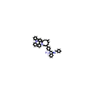 C=C1CC/C=C\N(C2=C(c3cccc4c5ccccc5n(C5=CC=CCC5)c34)C=CCC2)/C=C\C(c2ccc(/C(N)=C/C(=N\Cc3ccccc3)C3C=CC=CC3)cc2)=C/C1C